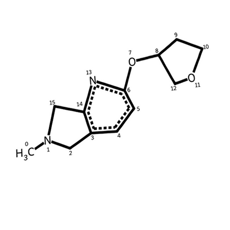 CN1Cc2ccc(OC3CCOC3)nc2C1